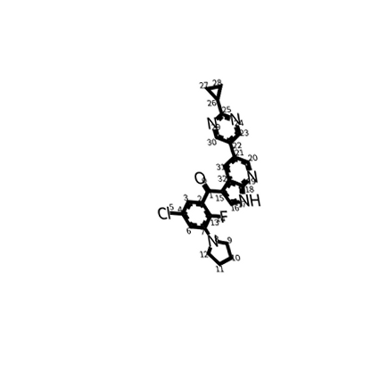 O=C(c1cc(Cl)cc(N2CCCC2)c1F)c1c[nH]c2ncc(-c3cnc(C4CC4)nc3)cc12